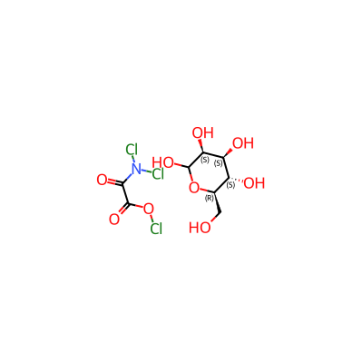 O=C(OCl)C(=O)N(Cl)Cl.OC[C@H]1OC(O)[C@@H](O)[C@@H](O)[C@@H]1O